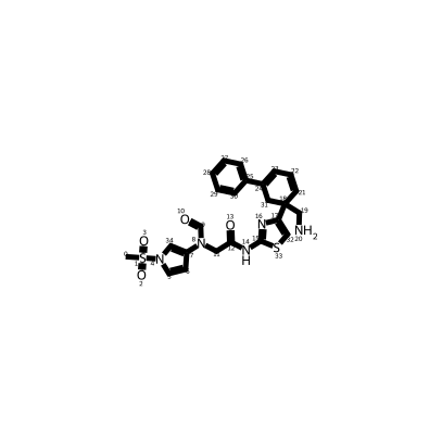 CS(=O)(=O)n1ccc(N(C=O)CC(=O)Nc2nc(C3(CN)C=CC=C(c4ccccc4)C3)cs2)c1